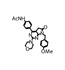 COc1ccc(CN2C(=O)Cc3c(-c4ccc(NC(C)=O)cc4)nc(N4CCOCC4)nc32)cc1